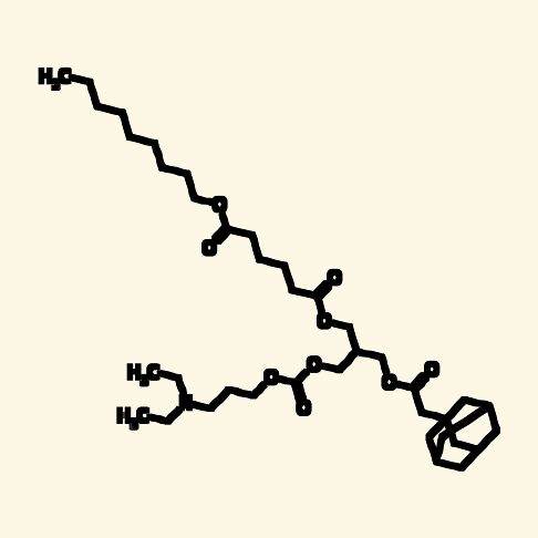 CCCCCCCCCOC(=O)CCCCC(=O)OCC(COC(=O)CC12CC3CC(CC(C3)C1)C2)COC(=O)OCCCN(CC)CC